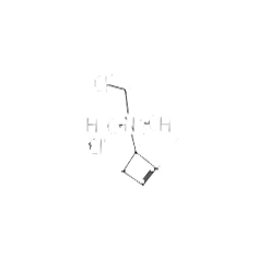 C[N+](C)(CCl)C1C=CC1.[Cl-]